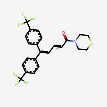 O=C(/C=C/C=C(c1ccc(C(F)(F)F)cc1)c1ccc(C(F)(F)F)cc1)N1CCSCC1